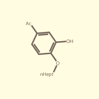 CCCCCCCOc1ccc(C(C)=O)cc1O